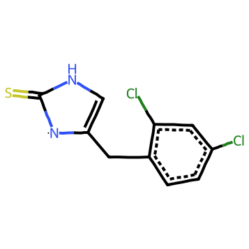 S=C1[N]C(Cc2ccc(Cl)cc2Cl)=CN1